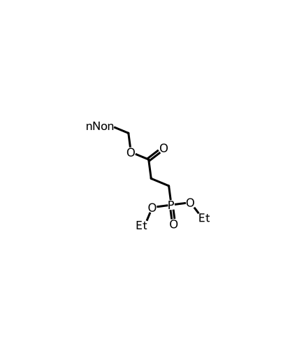 CCCCCCCCCCOC(=O)CCP(=O)(OCC)OCC